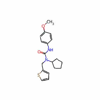 COc1ccc(NC(=O)N(Cc2cccs2)C2CCCC2)cc1